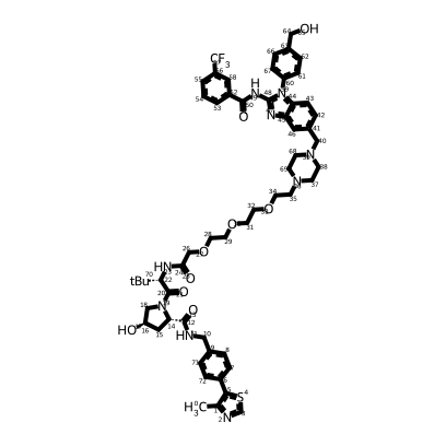 Cc1ncsc1-c1ccc(CNC(=O)[C@@H]2C[C@@H](O)CN2C(=O)[C@@H](NC(=O)COCCOCCOCCN2CCN(Cc3ccc4c(c3)nc(NC(=O)c3cccc(C(F)(F)F)c3)n4-c3ccc(CO)cc3)CC2)C(C)(C)C)cc1